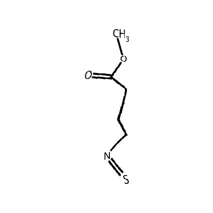 COC(=O)CCCN=S